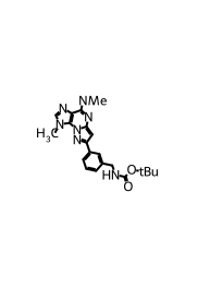 CNc1nc2cc(-c3cccc(CNC(=O)OC(C)(C)C)c3)nn2c2c1ncn2C